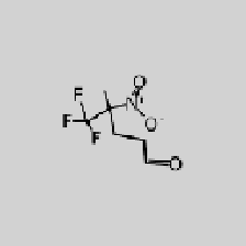 CC(CCC=O)([N+](=O)[O-])C(F)(F)F